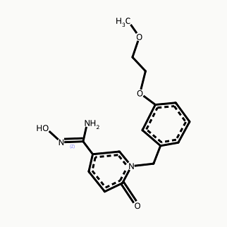 COCCOc1cccc(Cn2cc(/C(N)=N/O)ccc2=O)c1